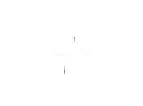 C[As](C)[SH](=O)=O